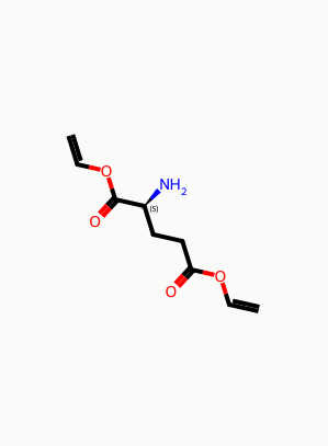 C=COC(=O)CC[C@H](N)C(=O)OC=C